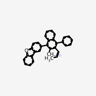 C/C=C\c1c(C)c(-c2ccc3oc4ccccc4c3c2)c2ccccc2c1-c1ccccc1